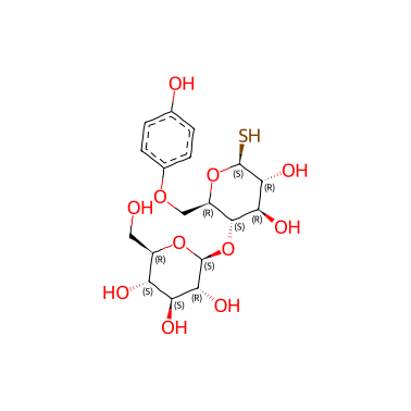 OC[C@H]1O[C@@H](O[C@H]2[C@H](O)[C@@H](O)[C@H](S)O[C@@H]2COc2ccc(O)cc2)[C@H](O)[C@@H](O)[C@@H]1O